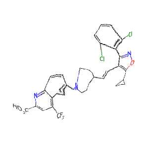 O=C(O)c1cc(C(F)(F)F)c2cc(N3CCC(/C=C/c4c(-c5c(Cl)cccc5Cl)noc4C4CC4)CC3)ccc2n1